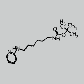 CC(C)(C)OC(=O)NCCCCCCNc1ccccn1